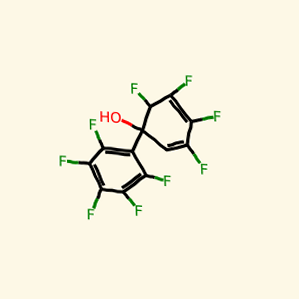 OC1(c2c(F)c(F)c(F)c(F)c2F)C=C(F)C(F)=C(F)C1F